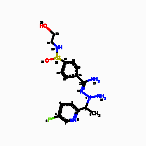 CC(c1ccc(F)cn1)N(N)/N=C(\N)c1ccc([S+]([O-])NCCO)cc1